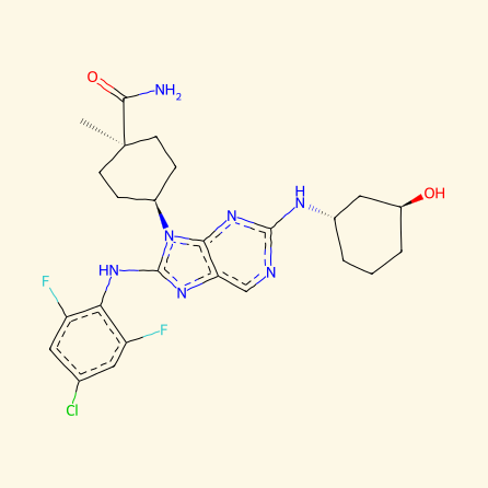 C[C@]1(C(N)=O)CC[C@@H](n2c(Nc3c(F)cc(Cl)cc3F)nc3cnc(N[C@H]4CCC[C@H](O)C4)nc32)CC1